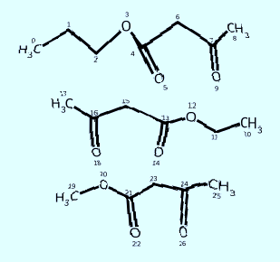 CCCOC(=O)CC(C)=O.CCOC(=O)CC(C)=O.COC(=O)CC(C)=O